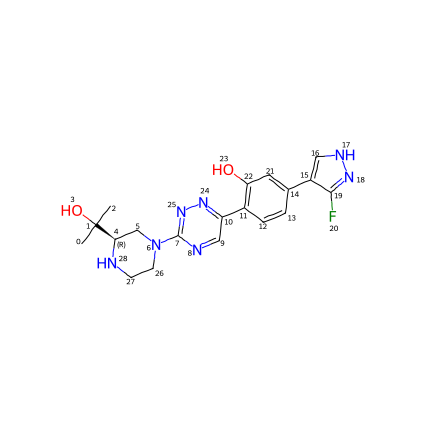 CC(C)(O)[C@H]1CN(c2ncc(-c3ccc(-c4c[nH]nc4F)cc3O)nn2)CCN1